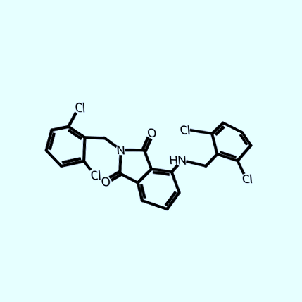 O=C1c2cccc(NCc3c(Cl)cccc3Cl)c2C(=O)N1Cc1c(Cl)cccc1Cl